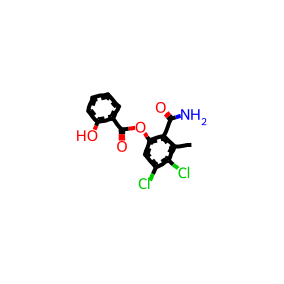 Cc1c(Cl)c(Cl)cc(OC(=O)c2ccccc2O)c1C(N)=O